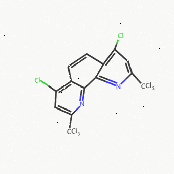 Clc1cc(C(Cl)(Cl)Cl)nc2c1ccc1c(Cl)cc(C(Cl)(Cl)Cl)nc12